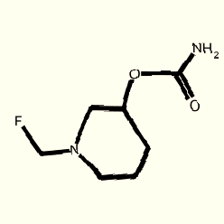 NC(=O)OC1CCCN(CF)C1